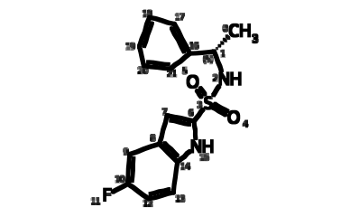 C[C@H](NS(=O)(=O)c1cc2cc(F)ccc2[nH]1)c1ccccc1